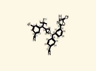 CC(C)(F)C(c1cc(F)cc(C#N)c1)C1CN([C@@H](c2ccc(C#N)cc2)c2cccc(-c3n[nH]c(=O)o3)c2)C1